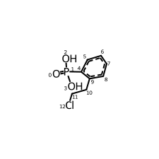 O=P(O)(O)c1ccccc1CCCl